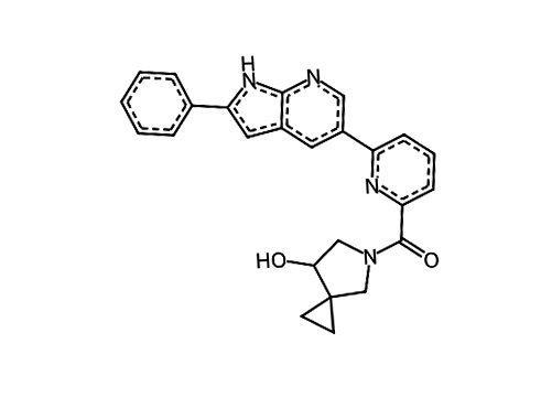 O=C(c1cccc(-c2cnc3[nH]c(-c4ccccc4)cc3c2)n1)N1CC(O)C2(CC2)C1